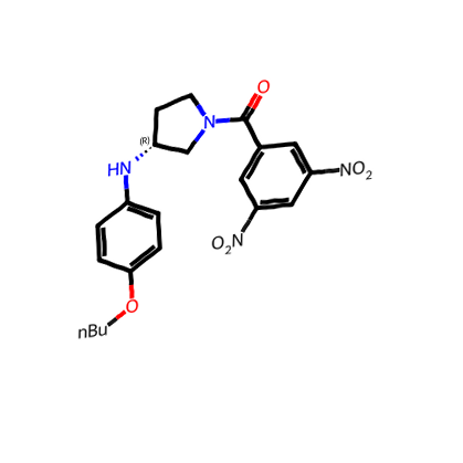 CCCCOc1ccc(N[C@@H]2CCN(C(=O)c3cc([N+](=O)[O-])cc([N+](=O)[O-])c3)C2)cc1